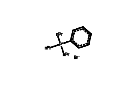 CCC[P+](CCC)(CCC)c1ccccc1.[Br-]